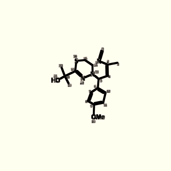 C=NC(C)=CC(c1ccc(OC)cc1)N1CCSC(C(C)(C)O)=N1